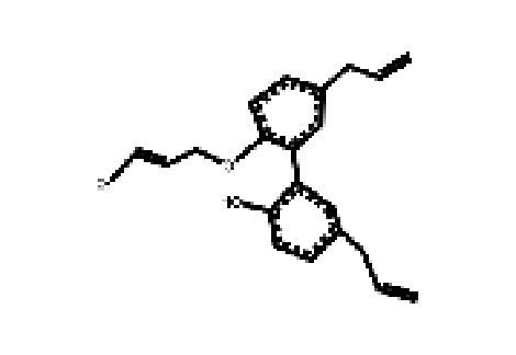 C=CCc1ccc(O)c(-c2cc(CC=C)ccc2OCC=CCC)c1